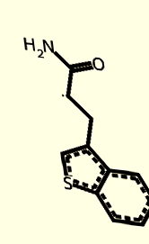 NC(=O)[CH]Cc1csc2ccccc12